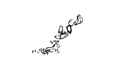 C[SH](C)(=O)CCCC(=O)NC[C@H]1CN(c2ccc(N3CCOCC3)c(F)c2)C(=O)O1